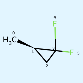 C[C@@H]1CC1(F)F